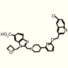 O=C(O)c1ccc2nc(CN3CCC(c4cccc(OCc5cnc6ccc(Cl)cc6c5)n4)CC3)n(C[C@@H]3CCO3)c2c1